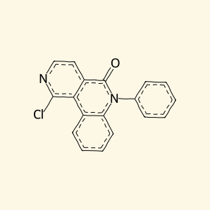 O=c1c2ccnc(Cl)c2c2ccccc2n1-c1ccccc1